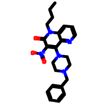 CCCCn1c(=O)c([N+](=O)[O-])c(N2CCN(Cc3ccccc3)CC2)c2ncccc21